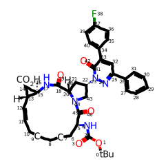 CC(C)(C)OC(=O)N[C@H]1CCCCC/C=C\[C@@H]2C[C@@]2(C(=O)O)NC(=O)[C@@H]2C[C@H](n3nc(-c4ccccc4)cc(-c4ccc(F)cc4)c3=O)CN2C1=O